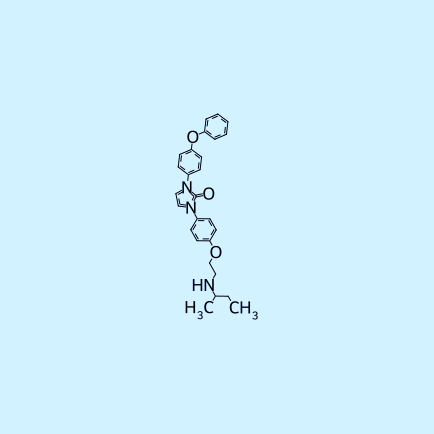 CCC(C)NCCOc1ccc(-n2ccn(-c3ccc(Oc4ccccc4)cc3)c2=O)cc1